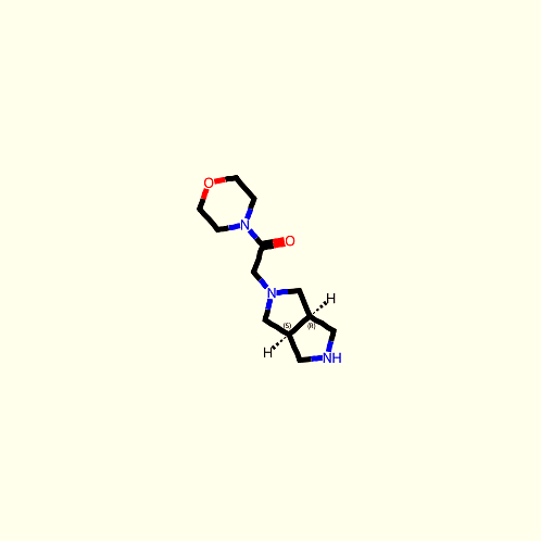 O=C(CN1C[C@H]2CNC[C@H]2C1)N1CCOCC1